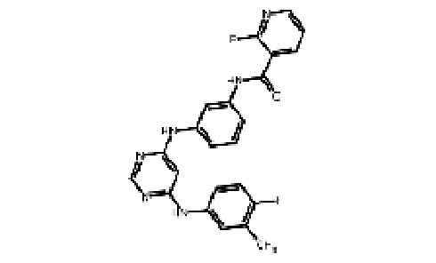 Cc1cc(Nc2cc(Nc3cccc(NC(=O)c4cccnc4F)c3)ncn2)ccc1F